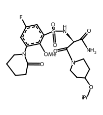 COc1c(N2CCCCC2=O)cc(F)cc1S(=O)(=O)N[C@@H](C(N)=O)C(=O)N1CCC(OC(C)C)CC1